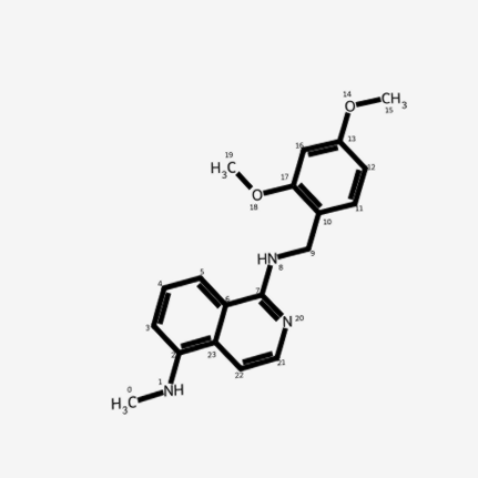 CNc1cccc2c(NCc3ccc(OC)cc3OC)nccc12